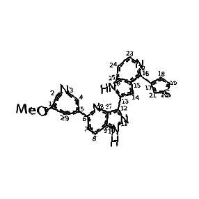 COc1cncc(-c2ccc3[nH]nc(-c4cc5c(-c6ccsc6)nccc5[nH]4)c3n2)c1